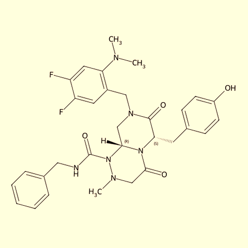 CN(C)c1cc(F)c(F)cc1CN1C[C@@H]2N(C(=O)CN(C)N2C(=O)NCc2ccccc2)[C@@H](Cc2ccc(O)cc2)C1=O